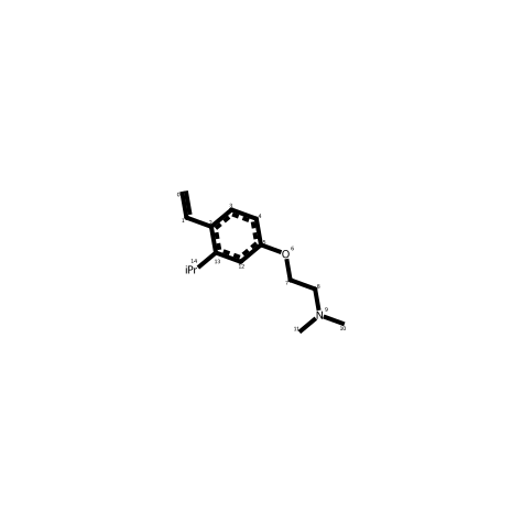 C=Cc1ccc(OCCN(C)C)cc1C(C)C